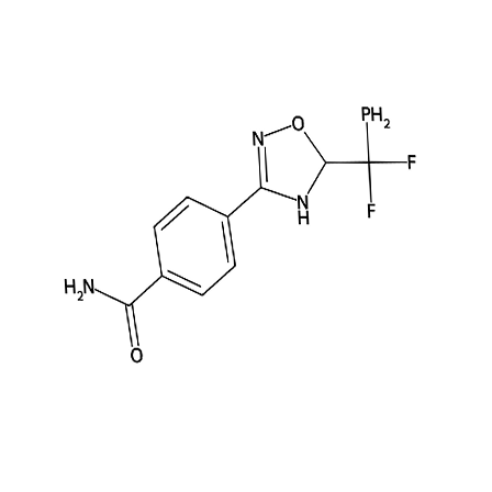 NC(=O)c1ccc(C2=NOC(C(F)(F)P)N2)cc1